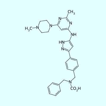 Cc1nc(Nc2cc(-c3ccc(CN(Cc4ccccc4)C(=O)O)cc3)n[nH]2)cc(N2CCN(C)CC2)n1